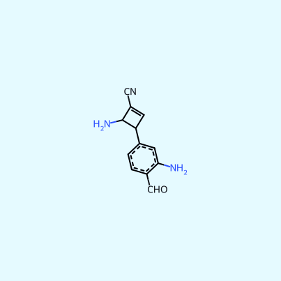 N#CC1=CC(c2ccc(C=O)c(N)c2)C1N